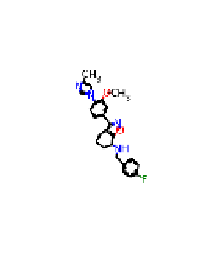 COc1cc(-c2noc3c2CCCC3NCc2ccc(F)cc2)ccc1-n1cnc(C)c1